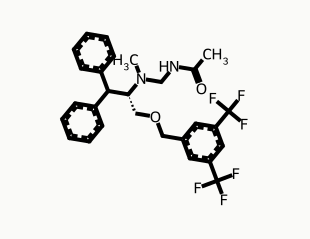 CC(=O)NCN(C)[C@H](COCc1cc(C(F)(F)F)cc(C(F)(F)F)c1)C(c1ccccc1)c1ccccc1